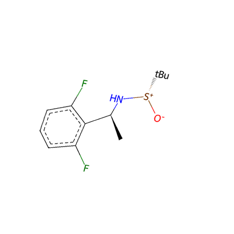 C[C@H](N[S@@+]([O-])C(C)(C)C)c1c(F)cccc1F